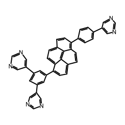 c1ncc(-c2ccc(-c3ccc4ccc5c(-c6cc(-c7cncnc7)cc(-c7cncnc7)c6)ccc6ccc3c4c65)cc2)cn1